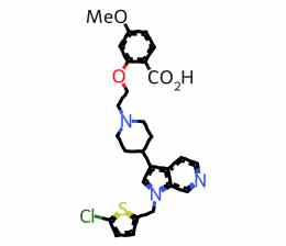 COc1ccc(C(=O)O)c(OCCN2CCC(c3cn(Cc4ccc(Cl)s4)c4cnccc34)CC2)c1